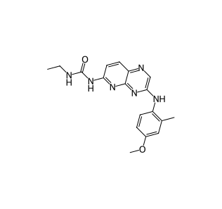 CCNC(=O)Nc1ccc2ncc(Nc3ccc(OC)cc3C)nc2n1